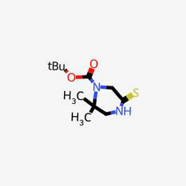 CC(C)(C)OC(=O)N1CC(=S)NCC1(C)C